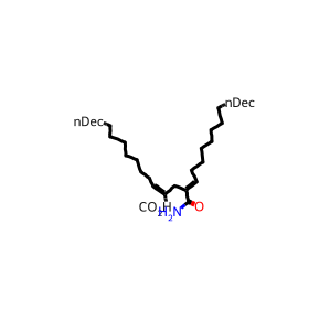 CCCCCCCCCCCCCCCCC/C=C(\C/C(=C\CCCCCCCCCCCCCCCCC)C(=O)O)C(N)=O